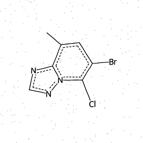 Cc1cc(Br)c(Cl)n2ncnc12